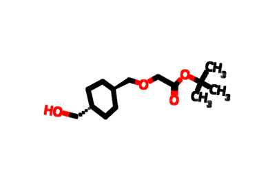 CC(C)(C)OC(=O)COC[C@H]1CC[C@H](CO)CC1